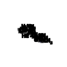 C#Cc1c(-c2cnc3ccccc3c2)c2c(N)ncnc2n1C12CCC(NC(=O)C(/C=C\NC)C(C)N)(CC1)C2